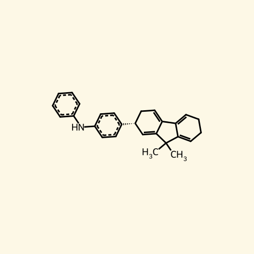 CC1(C)C2=CCCC=C2C2=CC[C@@H](c3ccc(Nc4ccccc4)cc3)C=C21